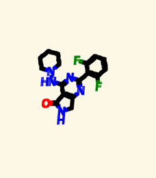 O=C1NCc2nc(-c3c(F)cccc3F)nc(NN3CCCCC3)c21